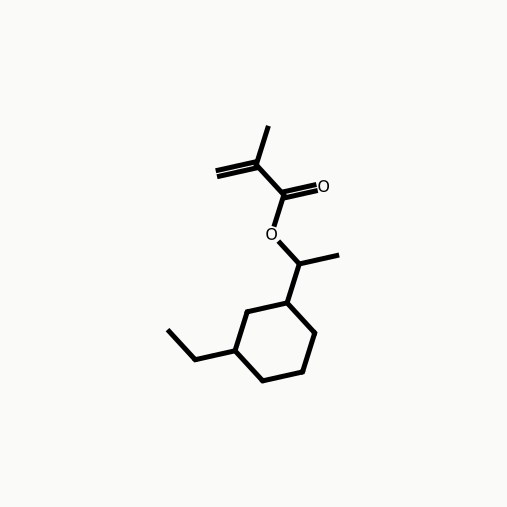 C=C(C)C(=O)OC(C)C1CCCC(CC)C1